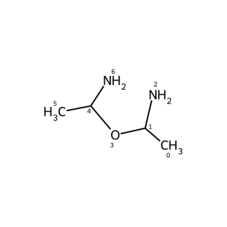 CC(N)OC(C)N